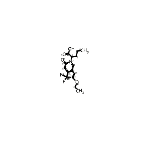 CCCC(C(=O)O)n1cc(C=COCC)c(C(F)(F)F)cc1=O